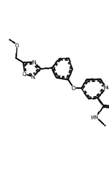 CNC(=O)c1cc(Oc2cccc(-c3noc(COC)n3)c2)ccn1